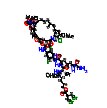 COc1cc2cc(c1Cl)N(C)C(=O)C[C@H](OC(=O)Nc1cc(F)c(NC(=O)[C@H](CCCNC(N)=O)NC(=O)[C@@H](NC(C=O)CCCCOC(=O)C(CBr)CBr)C(C)C)cc1F)[C@]1(C)O[C@H]1[C@H](C)[C@@H]1C[C@@](O)(NC(=O)O1)[C@H](OC)/C=C/C=C(\C)C2